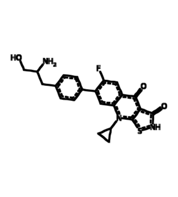 NC(CO)Cc1ccc(-c2cc3c(cc2F)c(=O)c2c(=O)[nH]sc2n3C2CC2)cc1